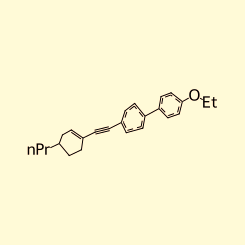 CCCC1CC=C(C#Cc2ccc(-c3ccc(OCC)cc3)cc2)CC1